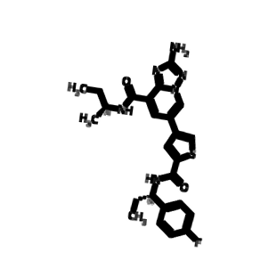 CC[C@H](NC(=O)c1cc(-c2cc(C(=O)N[C@@H](C)CC)c3nc(N)nn3c2)cs1)c1ccc(F)cc1